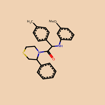 COc1cccc(NC(C(=O)N2CCSCC2c2ccccc2)c2ccc(C)cc2)c1